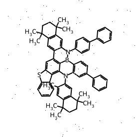 Cc1cc2c(cc1N1c3cc(-c4ccccc4)ccc3B3c4c(cc5sc6ccccc6c5c41)-c1cc4c(cc1N3c1ccc(-c3ccccc3)cc1)C(C)(C)CCC4(C)C)C(C)(C)CCC2(C)C